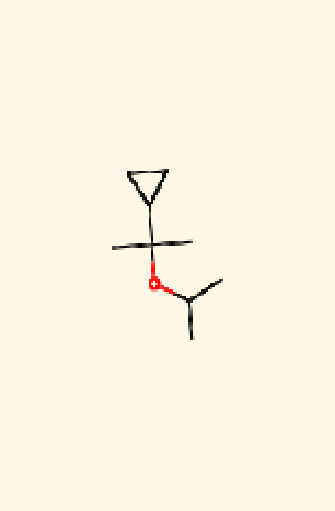 CC(C)OC(C)(C)C1CC1